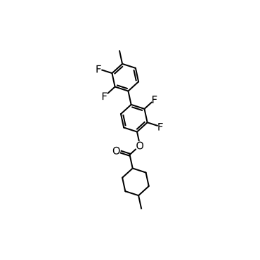 Cc1ccc(-c2ccc(OC(=O)C3CCC(C)CC3)c(F)c2F)c(F)c1F